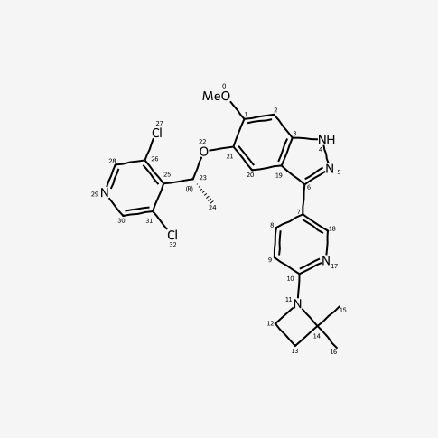 COc1cc2[nH]nc(-c3ccc(N4CCC4(C)C)nc3)c2cc1O[C@H](C)c1c(Cl)cncc1Cl